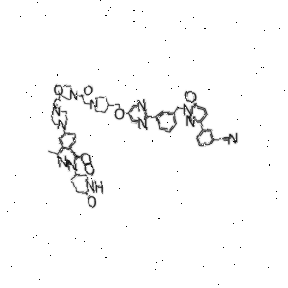 Cc1nn(C2CCC(=O)NC2=O)c(=O)c2ccc(N3CCN(C[C@@H]4CN(C(=O)CN5CCC(COc6cnc(-c7cccc(Cn8nc(-c9cccc(C#N)c9)ccc8=O)c7)nc6)CC5)CCO4)CC3)cc12